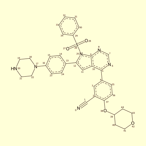 N#Cc1cc(-c2ncnc3c2cc(-c2ccc(N4CCNCC4)cc2)n3S(=O)(=O)c2ccccc2)ccc1OC1CCOCC1